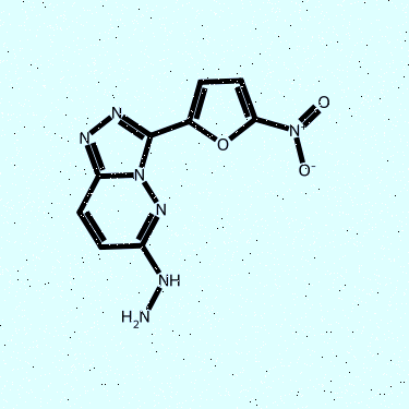 NNc1ccc2nnc(-c3ccc([N+](=O)[O-])o3)n2n1